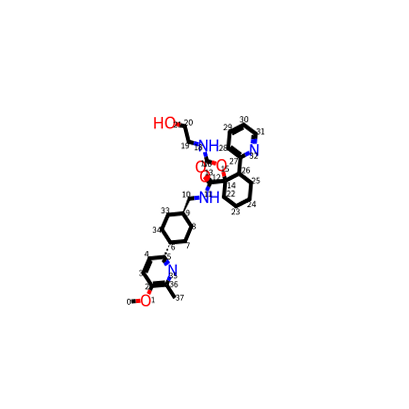 COc1ccc([C@H]2CC[C@H](CNC(=O)C3(OC(=O)NCCO)CCCCC3c3ccccn3)CC2)nc1C